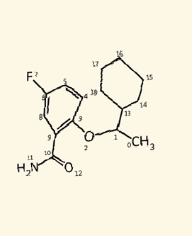 CC(Oc1ccc(F)cc1C(N)=O)C1CCCCC1